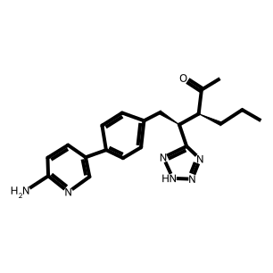 CCC[C@H](C(C)=O)[C@H](Cc1ccc(-c2ccc(N)nc2)cc1)c1nn[nH]n1